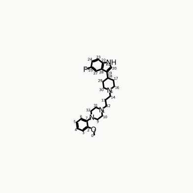 COc1ccccc1N1CCN(CCCN2CCC(c3c[nH]c4ccc(F)cc34)CC2)CC1